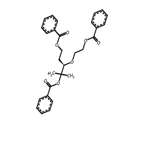 CC(C)(OC(=O)c1ccccc1)[C@@H](CCOC(=O)c1ccccc1)OCCOC(=O)c1ccccc1